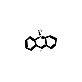 CCC[n+]1c2ccccc2cc2ccccc21.[I-]